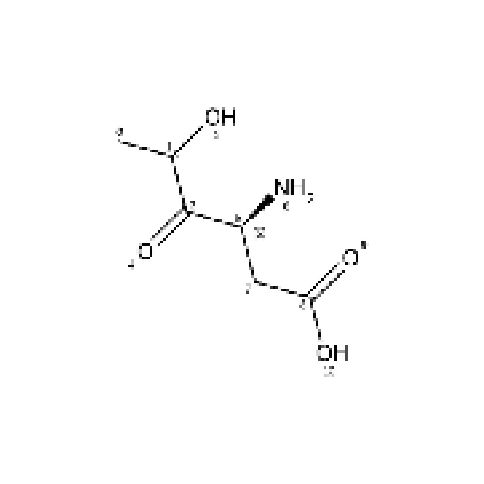 C[C](O)C(=O)[C@@H](N)CC(=O)O